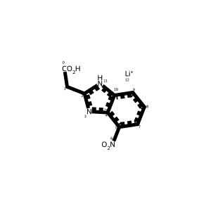 O=C(O)Cc1nc2c([N+](=O)[O-])cccc2[nH]1.[Li+]